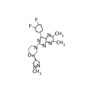 Cc1nc2nc(N3CCO[C@H](c4cnn(C)c4)C3)nc(-c3ccc(F)c(F)c3)c2nc1C